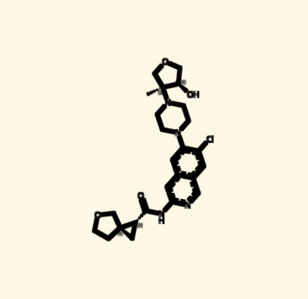 C[C@]1(N2CCN(c3cc4cc(NC(=O)[C@@H]5C[C@]56CCOC6)ncc4cc3Cl)CC2)COC[C@H]1O